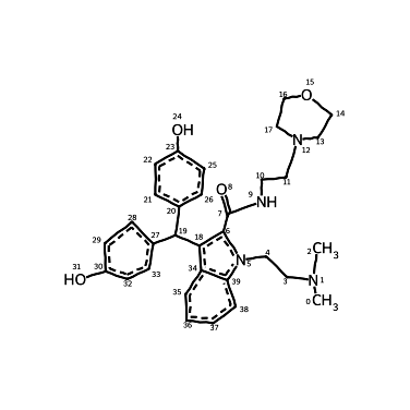 CN(C)CCn1c(C(=O)NCCN2CCOCC2)c(C(c2ccc(O)cc2)c2ccc(O)cc2)c2ccccc21